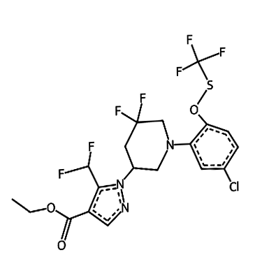 CCOC(=O)c1cnn(C2CN(c3cc(Cl)ccc3OSC(F)(F)F)CC(F)(F)C2)c1C(F)F